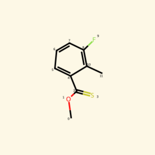 COC(=S)c1cccc(F)c1C